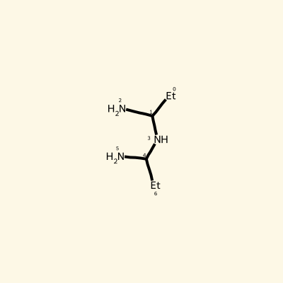 CCC(N)NC(N)CC